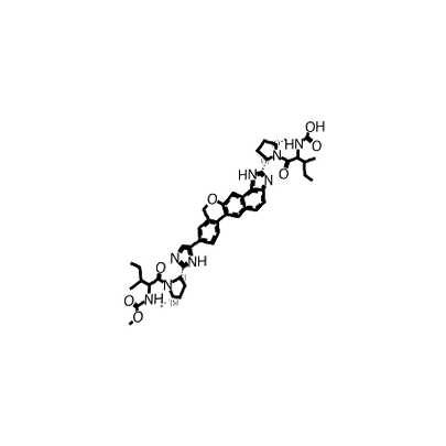 CCC(C)C(NC(=O)OC)C(=O)N1[C@@H](C)CC[C@H]1c1ncc(-c2ccc3c(c2)COc2cc4c(ccc5nc([C@@H]6CC[C@H](C)N6C(=O)C(NC(=O)O)C(C)CC)[nH]c54)cc2-3)[nH]1